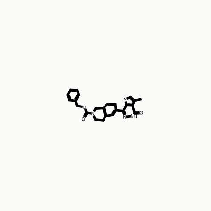 Cc1csc2c(-c3ccc4c(c3)CCN(C(=O)OCc3ccccc3)C4)n[nH]c(=O)c12